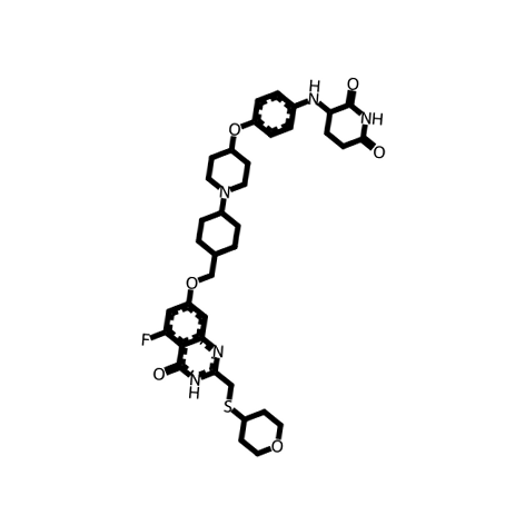 O=C1CCC(Nc2ccc(OC3CCN(C4CCC(COc5cc(F)c6c(=O)[nH]c(CSC7CCOCC7)nc6c5)CC4)CC3)cc2)C(=O)N1